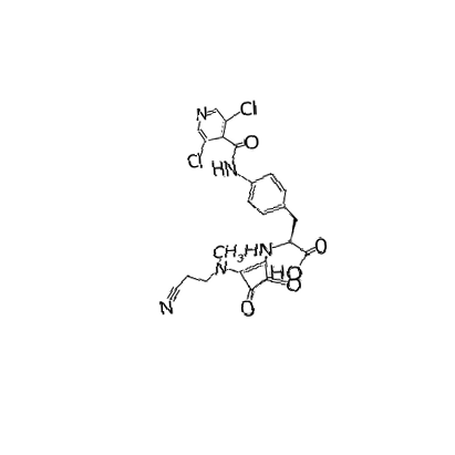 CN(CCC#N)c1c(N[C@@H](Cc2ccc(NC(=O)c3c(Cl)cncc3Cl)cc2)C(=O)O)c(=O)c1=O